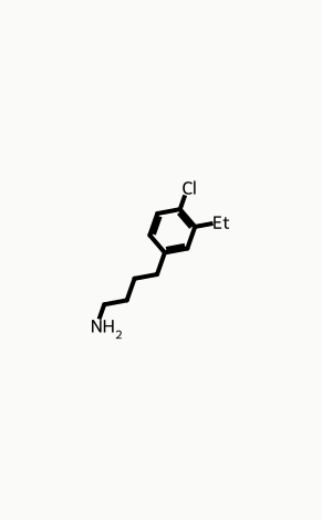 CCc1cc(CCCCN)ccc1Cl